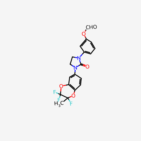 CC1(F)Oc2ccc(N3CCN(c4cccc(OC=O)c4)C3=O)cc2OC1(F)F